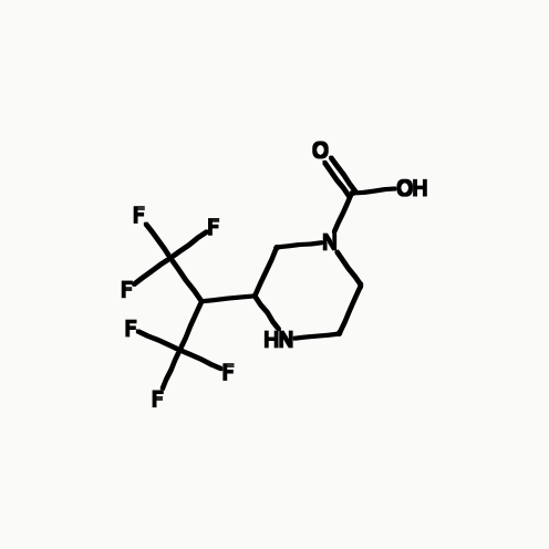 O=C(O)N1CCNC(C(C(F)(F)F)C(F)(F)F)C1